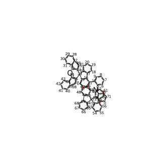 c1ccc(N(c2ccccc2-c2cccc3c2-c2ccccc2C32c3ccc4ccccc4c3Oc3c2ccc2ccccc32)c2cccc3c2C(c2ccccc2)(c2ccccc2)c2ccccc2-3)cc1